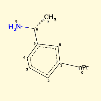 CCCc1cccc([C@@H](C)N)c1